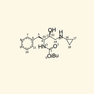 CC(C)COC(=O)N[C@@H](Cc1ccccc1)[C@@H](O)CNC1CC1